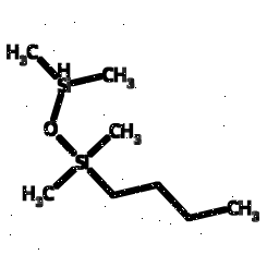 CCCC[Si](C)(C)O[SiH](C)C